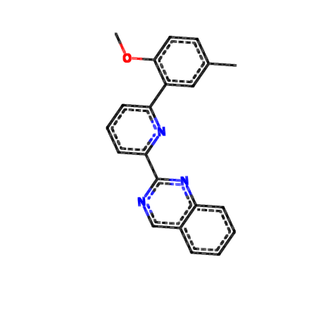 COc1ccc(C)cc1-c1cccc(-c2ncc3ccccc3n2)n1